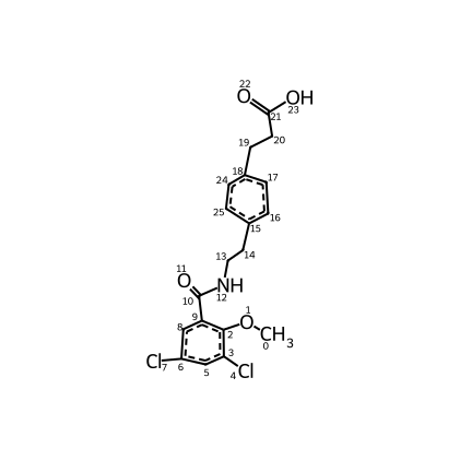 COc1c(Cl)cc(Cl)cc1C(=O)NCCc1ccc(CCC(=O)O)cc1